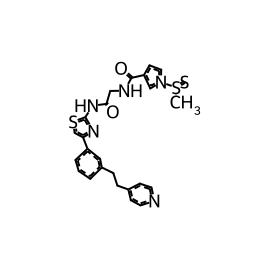 CS(=S)n1ccc(C(=O)NCC(=O)Nc2nc(-c3cccc(CCc4ccncc4)c3)cs2)c1